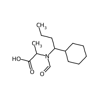 CCCC(C1CCCCC1)N(C=O)C(C)C(=O)O